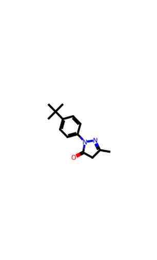 CC1=NN(c2ccc(C(C)(C)C)cc2)C(=O)C1